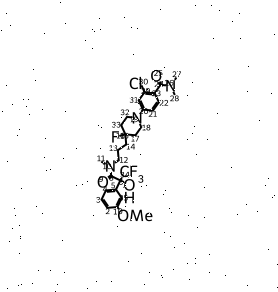 COc1cccc(C(O)(C(=O)N(C)CCCC2(F)CCN(c3ccc(C(=O)N(C)C)c(Cl)c3)CC2)C(F)(F)F)c1